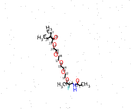 CCC(=O)NCC(F)C(C)OCCOCCOCCOCCOCC(=O)C(CC)CC